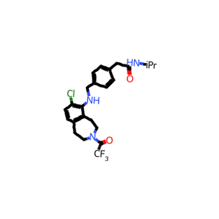 CC(C)NC(=O)Cc1ccc(CNc2c(Cl)ccc3c2CCN(C(=O)C(F)(F)F)CC3)cc1